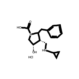 Cl.O=C(O)N1C[C@@H](O)[C@@H](CNC2CC2)C1Cc1ccccc1